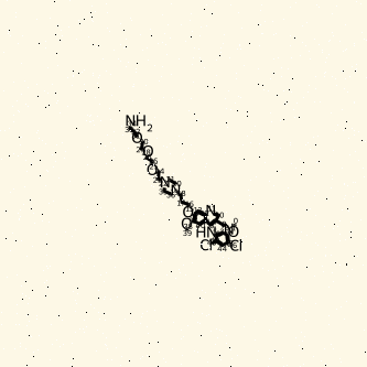 COc1cc(Nc2c(C#N)cnc3cc(OCCCN4CCN(CCOCCOCCOCCN)CC4)c(OC)cc23)c(Cl)cc1Cl